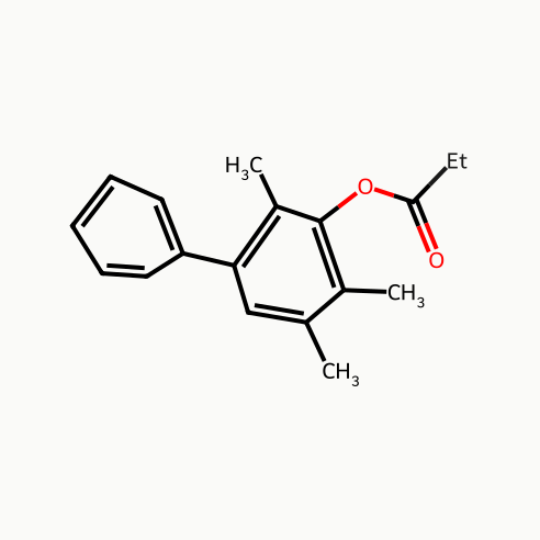 CCC(=O)Oc1c(C)c(C)cc(-c2ccccc2)c1C